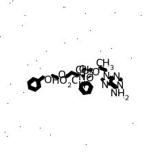 C[C@H](Cn1cnc2c(N)ncnc21)OCP(=O)(NC(C)(CCOCCOCc1ccccc1)C(=O)O)Oc1ccccc1